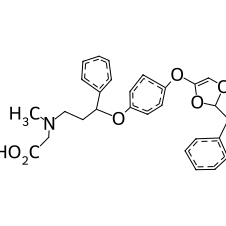 CN(CCC(Oc1ccc(OC2=COC(Cc3ccccc3)O2)cc1)c1ccccc1)CC(=O)O